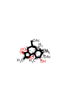 CC(=O)OCC1=C[C@H]2C(C)(C)[C@](C)(OC(C)=O)[C@H](O)[C@@H](C)[C@]2(O)C2C=C(C)C(=O)[C@@]2(O)C1